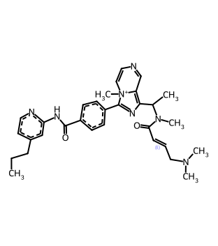 CCCc1ccnc(NC(=O)c2ccc(C3=NC(C(C)N(C)C(=O)/C=C/CN(C)C)=C4C=NC=C[N+]34C)cc2)c1